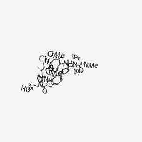 CC[C@H](C)[C@@H]([C@@H](CC(=O)N1CCC[C@H]1[C@H](OC)[C@@H](C)C(=O)N[C@@H](Cc1ccccc1)C(=O)NCC[Si](C)(C)O)OC)N(C)C(=O)[C@@H](NC(=O)[C@@H](NC)C(C)C)C(C)C